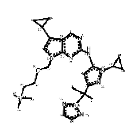 CC(C)(c1cc(Nc2ncc3c(C4CC4)cn(COCC[Si](C)(C)C)c3n2)n(C2CC2)n1)n1nccn1